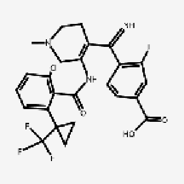 CN1CCC(C(=N)c2ccc(C(=O)O)cc2F)=C(NC(=O)c2c(Cl)cccc2C2(C(F)(F)F)CC2)C1